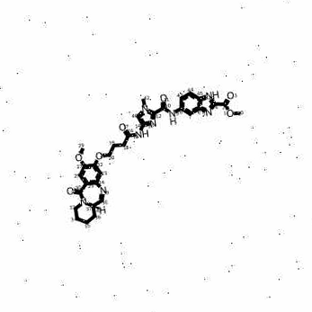 COC(=O)c1nc2cc(NC(=O)c3nc(NC(=O)CCCOc4cc5c(cc4OC)C(=O)N4CCCC[C@H]4C=N5)cn3C)ccc2[nH]1